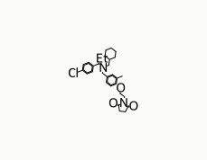 CCC(c1ccc(Cl)cc1)N(Cc1ccc(OCCN2C(=O)CCC2=O)c(C)c1)CC1CCCCC1